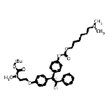 CC/C(=C(\c1ccc(OCCN(C)C(=O)OC(C)(C)C)cc1)c1ccc(OC(=O)OCCCCCCN(C)C)cc1)c1ccccc1